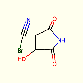 N#CBr.O=C1CC(O)C(=O)N1